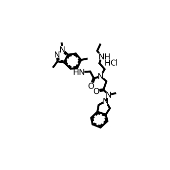 CCNCCN(CC(=O)N(C)N1Cc2ccccc2C1)C(=O)CNc1cc2c(C)nn(C)c2cc1C.Cl